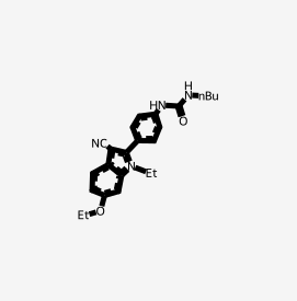 CCCCNC(=O)Nc1ccc(-c2c(C#N)c3ccc(OCC)cc3n2CC)cc1